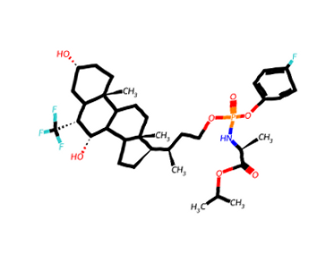 CC(C)OC(=O)[C@H](C)NP(=O)(OCC[C@@H](C)[C@H]1CCC2C3C(CC[C@@]21C)[C@@]1(C)CC[C@@H](O)CC1[C@@H](C(F)(F)F)[C@H]3O)Oc1ccc(F)cc1